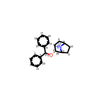 c1ccc(C(O[C@@H]2CCC3CCC2N3)c2ccccc2)cc1